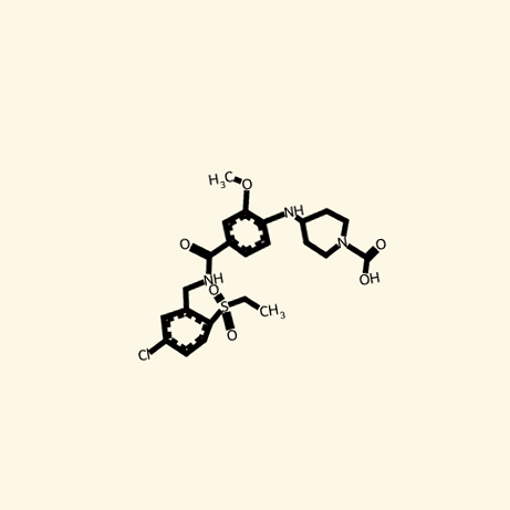 CCS(=O)(=O)c1ccc(Cl)cc1CNC(=O)c1ccc(NC2CCN(C(=O)O)CC2)c(OC)c1